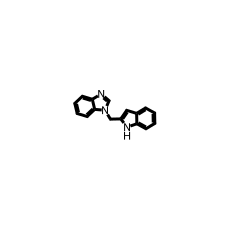 c1ccc2[nH]c(Cn3cnc4ccccc43)cc2c1